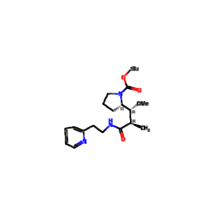 CO[C@H]([C@@H](C)C(=O)NCCc1ccccn1)[C@@H]1CCCN1C(=O)OC(C)(C)C